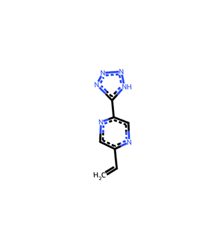 C=Cc1cnc(-c2nnn[nH]2)cn1